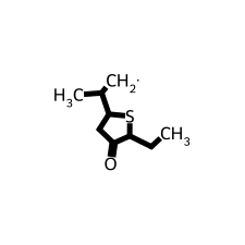 [CH2]C(C)C1CC(=O)C(CC)S1